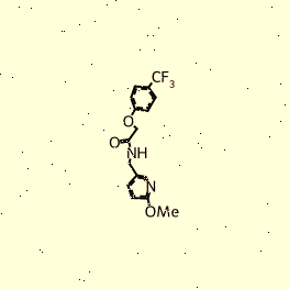 COc1ccc(CNC(=O)COc2ccc(C(F)(F)F)cc2)cn1